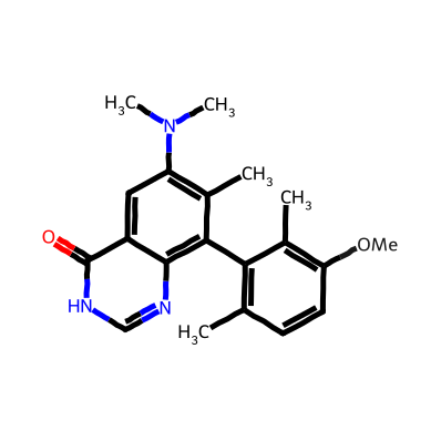 COc1ccc(C)c(-c2c(C)c(N(C)C)cc3c(=O)[nH]cnc23)c1C